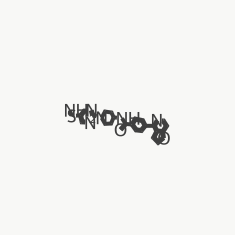 NSc1cnc(N2CCC(NC(=O)c3ccc(-c4nccc5occc45)cc3)CC2)nc1